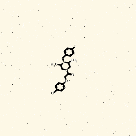 CC1CN(C(=O)COc2ccc(Cl)cc2)CC(C)N1Cc1ccc(F)cc1